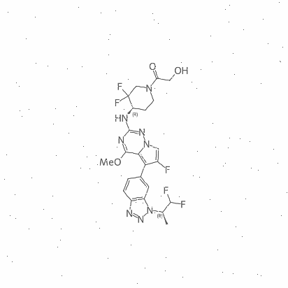 COc1nc(N[C@@H]2CCN(C(=O)CO)CC2(F)F)nn2cc(F)c(-c3ccc4nnn([C@H](C)C(F)F)c4c3)c12